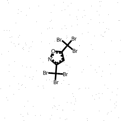 BrC(Br)(Br)c1cc(C(Br)(Br)Br)on1